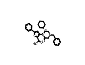 O=C(O)c1sc(-c2ccccc2)cc1N1C(=O)CN(Cc2ccccc2)C[C@H]1C1CCCCC1